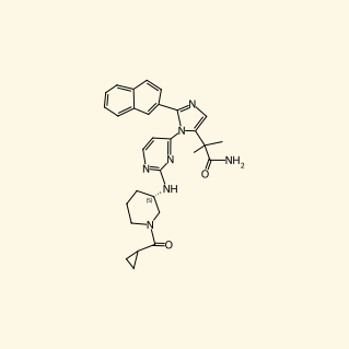 CC(C)(C(N)=O)c1cnc(-c2ccc3ccccc3c2)n1-c1ccnc(N[C@H]2CCCN(C(=O)C3CC3)C2)n1